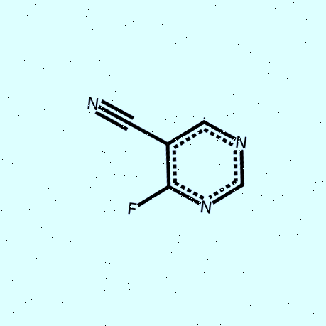 N#Cc1[c]ncnc1F